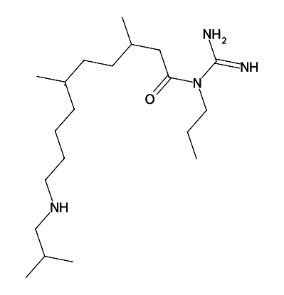 CCCN(C(=N)N)C(=O)CC(C)CC[C](C)CCCCNCC(C)C